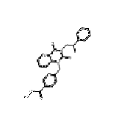 CC(Cn1c(=O)c2ccccc2n(Cc2ccc(C(=O)NO)cc2)c1=O)c1ccccc1